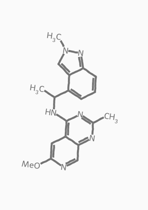 COc1cc2c(NC(C)c3cccc4nn(C)cc34)nc(C)nc2cn1